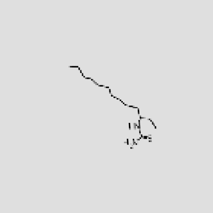 CCCCCCCCCCC(CC)NC(N)=S